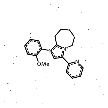 COc1ccccc1-n1cc(-c2ccccn2)[n+]2c1CCCCC2